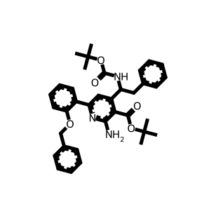 CC(C)(C)OC(=O)NC(Cc1ccccc1)c1cc(-c2ccccc2OCc2ccccc2)nc(N)c1C(=O)OC(C)(C)C